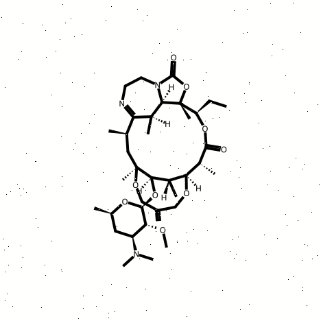 C=C1CO[C@H]2[C@H](C)[C@@H](O[C@@H]3O[C@H](C)C[C@H](N(C)C)[C@H]3OC)[C@](C)(C[C@@H](C)C3=NCCN4C(=O)O[C@](C)([C@@H](CC)OC(=O)[C@@H]2C)[C@H]4[C@H]3C)OC1